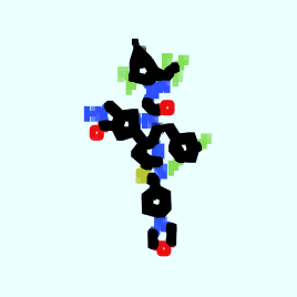 C[C@@H]1C2c3c(C(F)(F)F)nn(CC(=O)N[C@@H](Cc4cc(F)cc(F)c4)c4nc5nc(-c6ccc(N7CCOCC7)cc6)sc5cc4-c4ccc5c(c4)C(=O)NC5)c3C(F)(F)C21